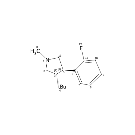 CN1C[C@@H](C(C)(C)C)[C@H](c2ccccc2F)C1